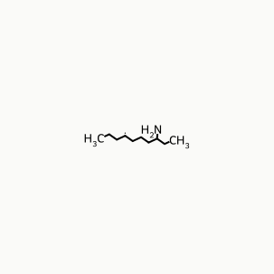 CCC[CH]CCCC(N)CC